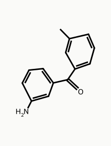 Cc1cccc(C(=O)c2cccc(N)c2)c1